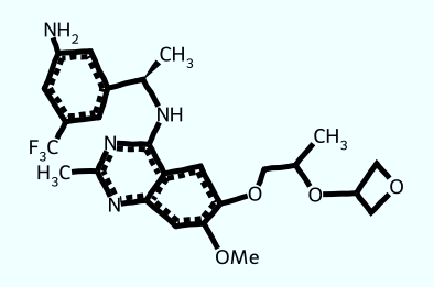 COc1cc2nc(C)nc(N[C@H](C)c3cc(N)cc(C(F)(F)F)c3)c2cc1OCC(C)OC1COC1